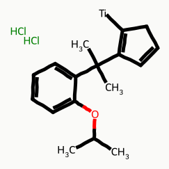 CC(C)Oc1ccccc1C(C)(C)C1=[C]([Ti])CC=C1.Cl.Cl